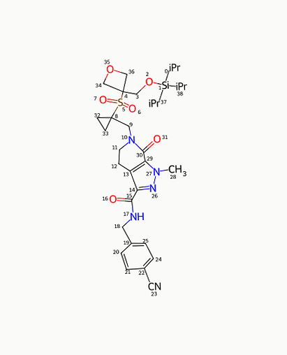 CC(C)[Si](OCC1(S(=O)(=O)C2(CN3CCc4c(C(=O)NCc5ccc(C#N)cc5)nn(C)c4C3=O)CC2)COC1)(C(C)C)C(C)C